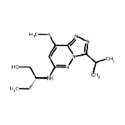 CC[C@H](CO)Nc1cc(SC)c2nnc(C(C)C)n2n1